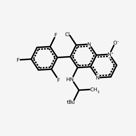 CC(Nc1c(-c2c(F)cc(F)cc2F)c(Cl)nc2c1ncc[n+]2[O-])C(C)(C)C